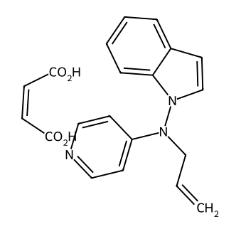 C=CCN(c1ccncc1)n1ccc2ccccc21.O=C(O)/C=C\C(=O)O